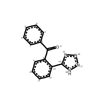 O=C(c1cc[c]cc1)c1ccccc1-c1nnn[nH]1